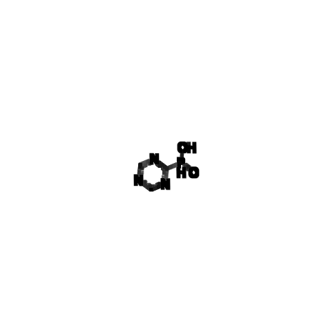 O=[PH](O)c1ncncn1